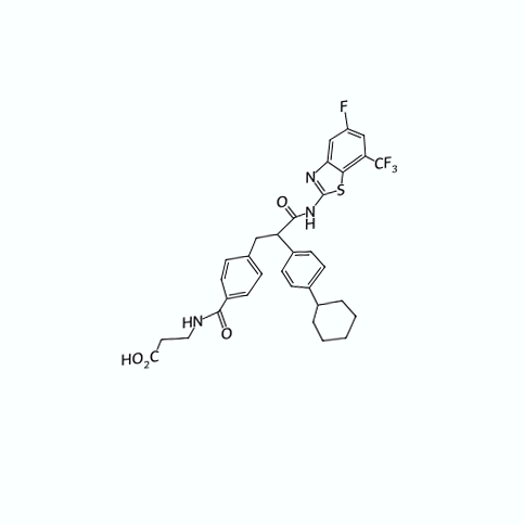 O=C(O)CCNC(=O)c1ccc(CC(C(=O)Nc2nc3cc(F)cc(C(F)(F)F)c3s2)c2ccc(C3CCCCC3)cc2)cc1